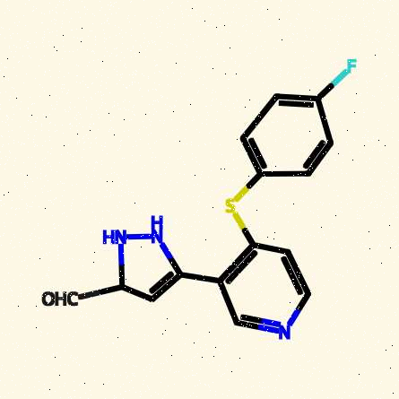 O=CC1C=C(c2cnccc2Sc2ccc(F)cc2)NN1